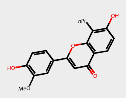 CCCc1c(O)ccc2c(=O)cc(-c3ccc(O)c(OC)c3)oc12